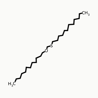 CCCCCCCCCCCCOCSCCCCCCCCCCCC